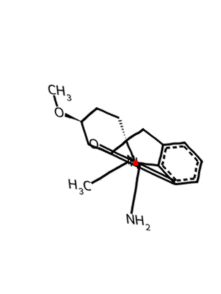 CO[C@H]1CC[C@]2(CC1)Cc1ccccc1C21N=C(N)N(C)C1=O